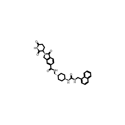 O=C1CCC(N2Cc3cc(C(=O)NC[C@H]4CC[C@H](NC(=O)NCc5cccc6ccccc56)CC4)ccc3C2=O)C(=O)N1